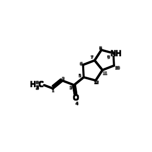 CC=CC(=O)C1CC2CNCC2C1